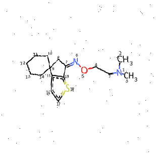 CN(C)CCON=C1CC2(CCCCC2)c2ccsc21